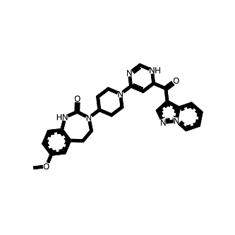 COc1ccc2c(c1)CCN(C1CCN(C3=CC(C(=O)c4cnn5ccccc45)NC=N3)CC1)C(=O)N2